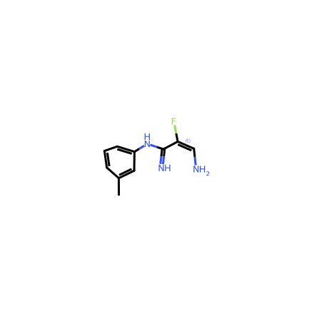 Cc1cccc(NC(=N)/C(F)=C\N)c1